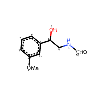 COc1cccc(C(O)CNC=O)c1